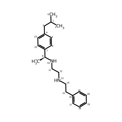 CC(C)Cc1ccc([C@H](C)NCCNCCc2ccccc2)cc1